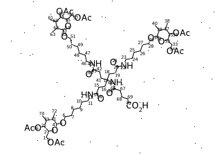 CC(=O)OCC1OC(OCCCCCCNC(=O)CCC(CCC(=O)NCCCCCCOC2OC(COC(C)=O)C(OC(C)=O)C(C)C2C)(CCC(=O)NCCCCCCOC2OC(COC(C)=O)C(OC(C)=O)C(C)C2C)NC(=O)CCCC(=O)O)C(C)C(C)C1OC(C)=O